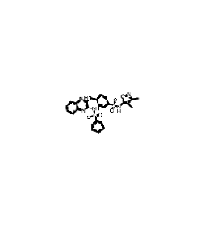 Cc1noc(NS(=O)(=O)c2ccc(Nc3nc4ccccc4nc3NS(=O)(=O)c3ccccc3)cc2)c1C